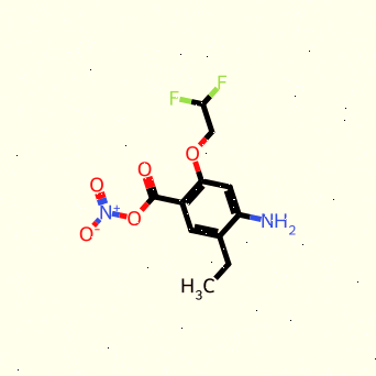 CCc1cc(C(=O)O[N+](=O)[O-])c(OCC(F)F)cc1N